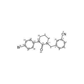 N#Cc1cccc(CN2CCCN(c3ccc(Br)cc3)C2=O)c1